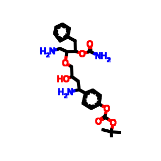 CC(C)(C)OC(=O)Oc1ccc(C(N)CC(O)COC(CN)C(Cc2ccccc2)OC(N)=O)cc1